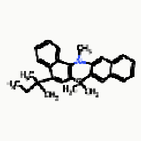 CCC(C)(C)c1cc2c(c3ccccc13)N(C)c1cc3ccccc3cc1[Si]2(C)C